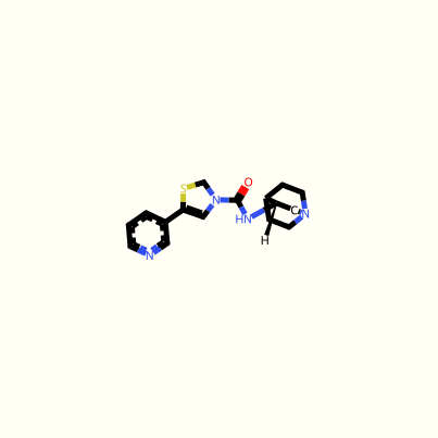 O=C(N[C@H]1CN2CCC1CC2)N1C=C(c2cccnc2)SC1